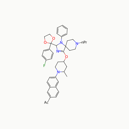 CCCN1CCC2(CC1)C(OC1CCN(c3ccc4cc(C(C)=O)ccc4c3)C(C)C1)=NC(C1(c3ccc(F)cc3)OCCO1)N2c1ccccc1